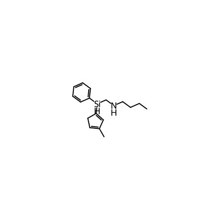 CCCCNC[SiH](C1=CC(C)=CC1)c1ccccc1